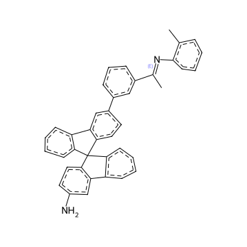 C/C(=N\c1ccccc1C)c1cccc(-c2ccc3c(c2)-c2ccccc2C32c3ccccc3-c3cc(N)ccc32)c1